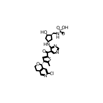 Cc1sc(C(=O)c2cncnc2N[C@H]2C[C@H](O)[C@@H]([CH]NS(=O)(=O)O)C2)cc1[C@H]1OCCc2cnc(Cl)cc21